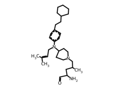 CC(C)=CCN(c1ccc(CCC2CCCCC2)cc1)C1CCN(CC(C)CC(N)C=O)CC1